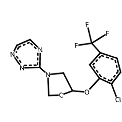 FC(F)(F)c1ccc(Cl)c(OC2CCN(c3nccnn3)C2)c1